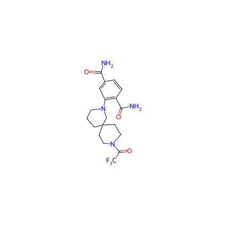 NC(=O)c1ccc(C(N)=O)c(N2CCCC3(CCN(C(=O)C(F)(F)F)CC3)C2)c1